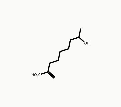 C=C(CCCCCC(C)O)C(=O)O